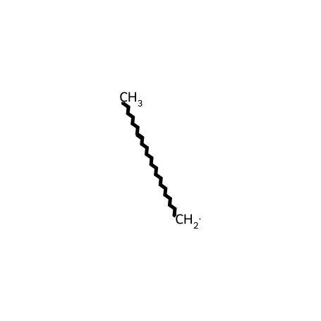 [CH2]CCCCCCCCCCCCCCCC=CCCCCCCC